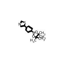 CC1(C)OB(c2ccc(-c3cncs3)cc2)OC1(C)C